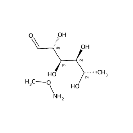 CON.C[C@H](O)[C@H](O)[C@@H](O)[C@@H](O)C=O